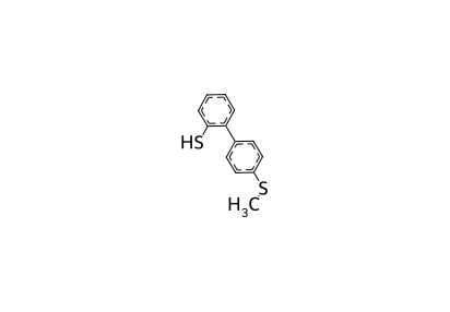 CSc1ccc(-c2ccccc2S)cc1